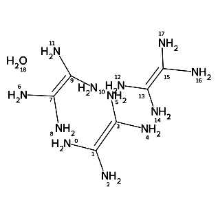 NC(N)=C(N)N.NC(N)=C(N)N.NC(N)=C(N)N.O